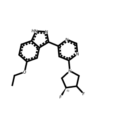 CCOc1ccc2[nH]nc(-c3cc(N4CC(F)[C@@H](F)C4)ncn3)c2c1